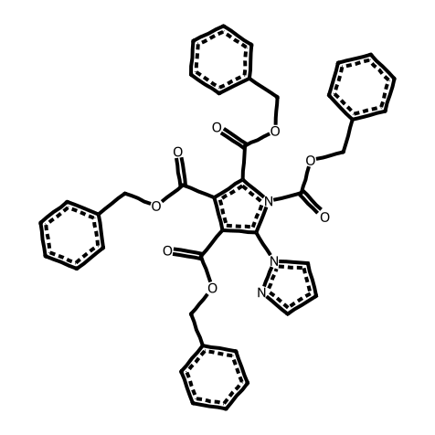 O=C(OCc1ccccc1)c1c(C(=O)OCc2ccccc2)c(-n2cccn2)n(C(=O)OCc2ccccc2)c1C(=O)OCc1ccccc1